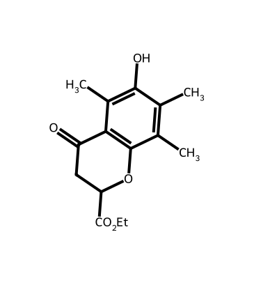 CCOC(=O)C1CC(=O)c2c(C)c(O)c(C)c(C)c2O1